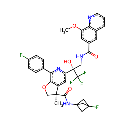 COc1cc(C(=O)NC[C@](O)(c2cc3c(c(-c4ccc(F)cc4)n2)OC[C@]3(C)C(=O)NC23CC(F)(C2)C3)C(F)(F)F)cc2cccnc12